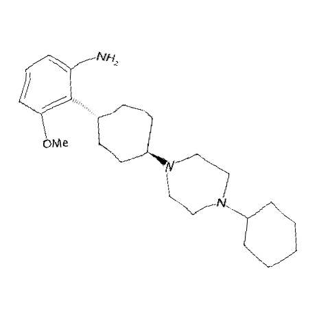 COc1cccc(N)c1[C@H]1CC[C@H](N2CCN(C3CCCCC3)CC2)CC1